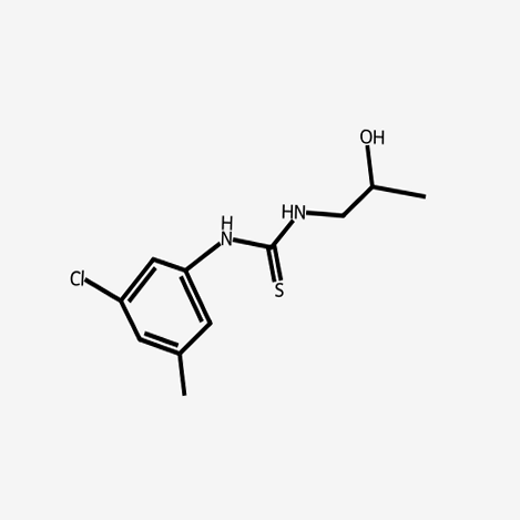 Cc1cc(Cl)cc(NC(=S)NCC(C)O)c1